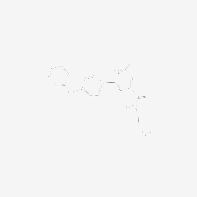 Cc1cc(C(=O)NCCN(C)C)cc(-c2ccc(Oc3ccc(F)cc3)cc2)n1